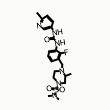 Cc1ccc(NC(=O)Nc2cccc(CN3CCN(S(=O)(=O)N(C)C)CC3C)c2F)cn1